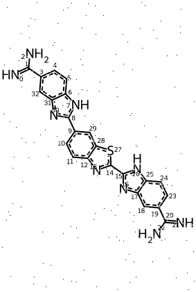 N=C(N)c1ccc2[nH]c(-c3ccc4nc(-c5nc6cc(C(=N)N)ccc6[nH]5)sc4c3)nc2c1